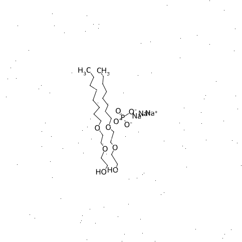 CCCCCCCCOCCOCCO.CCCCCCCCOCCOCCO.O=P([O-])([O-])[O-].[Na+].[Na+].[Na+]